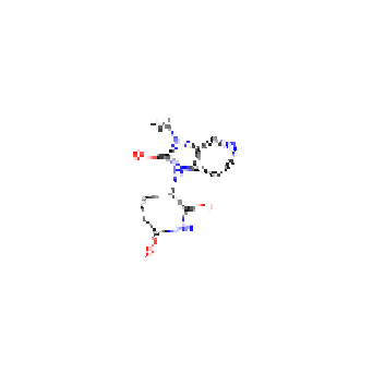 Cn1c(=O)n(C2CCC(=O)NC2=O)c2ccncc21